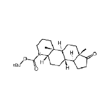 CC(C)(C)OC(=O)N1CCC[C@@]2(C)[C@@H]1CC[C@@H]1[C@@H]2CC[C@]2(C)C(=O)CC[C@@H]12